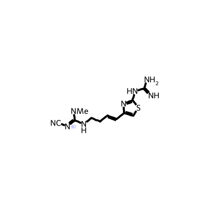 CN/C(=N\C#N)NCCC=Cc1csc(NC(=N)N)n1